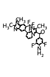 Cc1nc2c(-c3cc4nc(C)n(C)c4cc3C(F)(F)F)cccn2c1C(=O)c1cc(F)c(N)c(F)c1